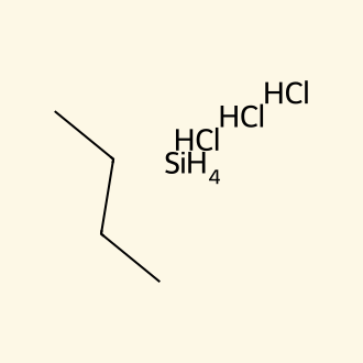 CCCC.Cl.Cl.Cl.[SiH4]